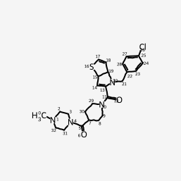 CN1CCN(C(=O)C2CCN(C(=O)C3=CC4SC=CC4N3Cc3ccc(Cl)cc3)CC2)CC1